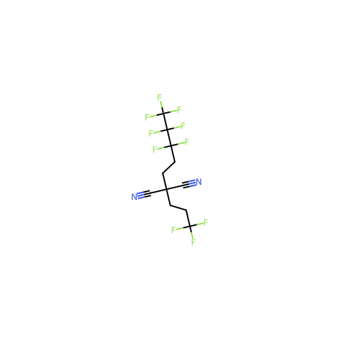 N#CC(C#N)(CCC(F)(F)F)CCC(F)(F)C(F)(F)C(F)(F)F